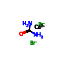 NC(N)=O.[Br-].[Br-].[Ca+2]